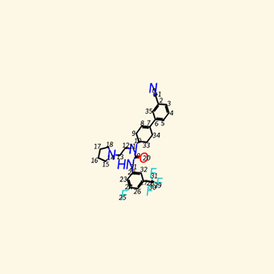 N#Cc1cccc(C2=CCC(N(CCN3CCCC3)C(=O)Nc3cc(F)cc(C(F)(F)F)c3)CC2)c1